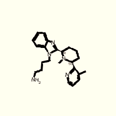 Cc1cccnc1[C@@H]1CCC[C@H](c2nc3ccccc3n2CCCCN)N1C